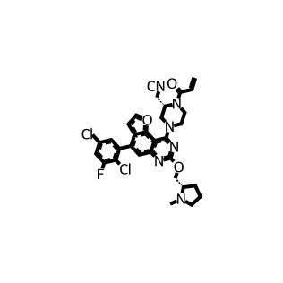 C=CC(=O)N1CCN(c2nc(OC[C@@H]3CCCN3C)nc3cc(-c4cc(Cl)cc(F)c4Cl)c4ccoc4c23)C[C@@H]1CC#N